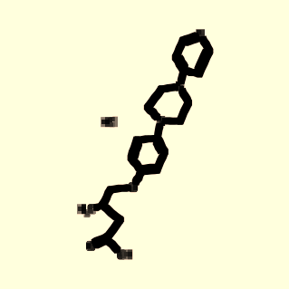 C[C@@H](COc1ccc(N2CCN(c3ccncc3)CC2)cc1)CC(=O)O.Cl